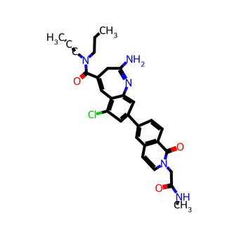 CCCN(CCC)C(=O)C1=Cc2c(Cl)cc(-c3ccc4c(=O)n(CC(=O)NC)ccc4c3)cc2N=C(N)C1